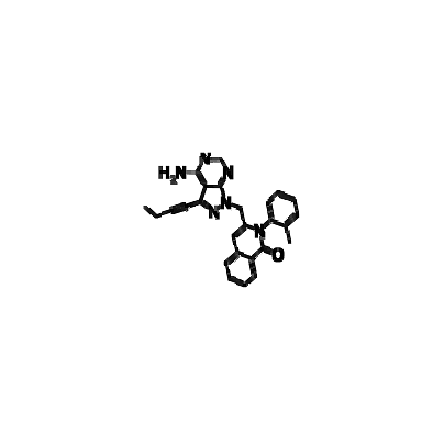 CCC#Cc1nn(Cc2cc3ccccc3c(=O)n2-c2ccccc2C)c2ncnc(N)c12